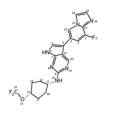 Fc1cc(-c2c[nH]c3nc(N[C@H]4CC[C@@H](OC(F)(F)F)CC4)ncc23)cn2ccnc12